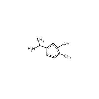 Cc1ccc(C(C)N)cc1O